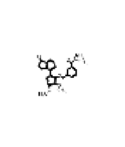 COc1ccc(-c2cccc3c2CCC3=O)c(OCc2cccc(C(=O)N(C)C)c2)c1OC